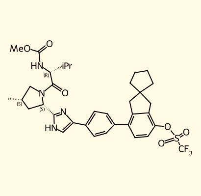 COC(=O)N[C@@H](C(=O)N1C[C@@H](C)C[C@H]1c1nc(-c2ccc(-c3ccc(OS(=O)(=O)C(F)(F)F)c4c3CC3(CCCC3)C4)cc2)c[nH]1)C(C)C